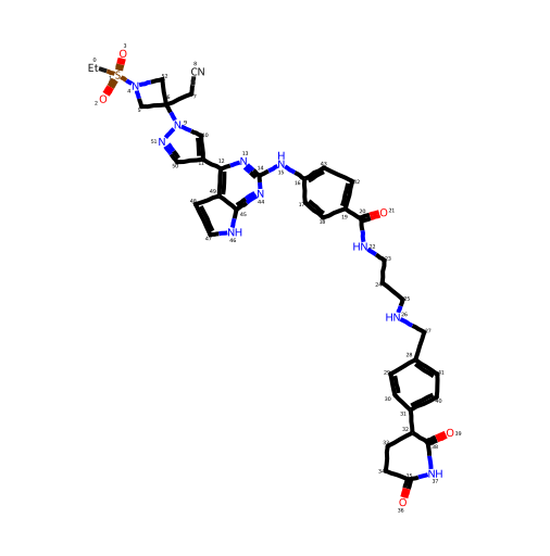 CCS(=O)(=O)N1CC(CC#N)(n2cc(-c3nc(Nc4ccc(C(=O)NCCCNCc5ccc(C6CCC(=O)NC6=O)cc5)cc4)nc4[nH]ccc34)cn2)C1